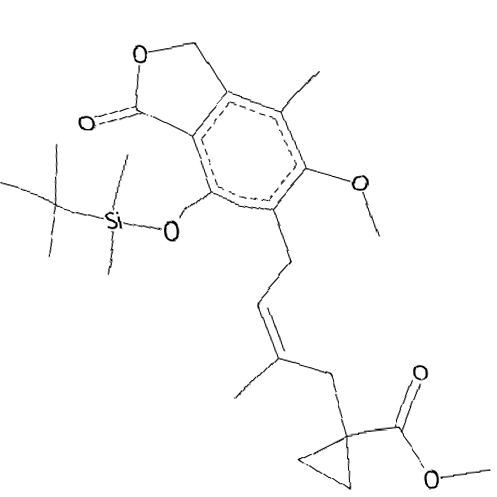 COC(=O)C1(CC(C)=CCc2c(OC)c(C)c3c(c2O[Si](C)(C)C(C)(C)C)C(=O)OC3)CC1